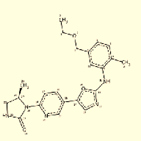 CCOCc1ccc(C)c(Nc2ncc(-c3ccc(N4C(=O)NC[C@H]4C)nc3)o2)c1